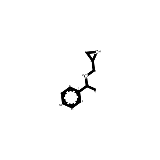 CC(OCC1CO1)c1ccccc1